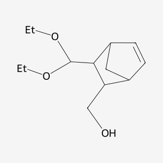 CCOC(OCC)C1C2C=CC(C2)C1CO